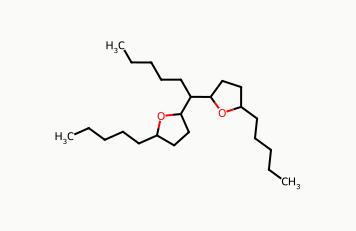 CCCCCC1CCC(C(CCCCC)C2CCC(CCCCC)O2)O1